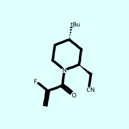 C=C(F)C(=O)N1CC[C@H](C(C)(C)C)C[C@H]1CC#N